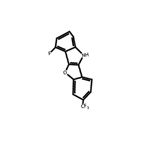 Fc1cccc2[nH]c3c4ccc(C(F)(F)F)cc4oc3c12